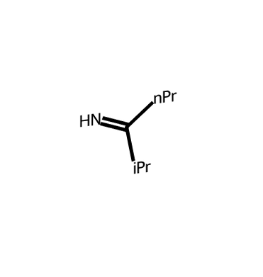 [CH2]C(C)C(=N)CCC